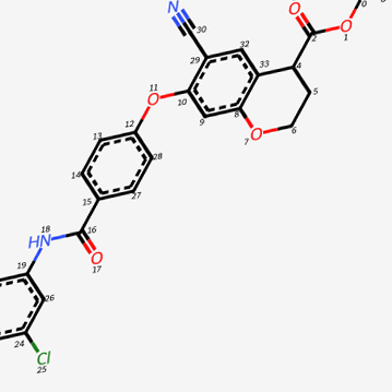 COC(=O)C1CCOc2cc(Oc3ccc(C(=O)Nc4ccc(Cl)c(Cl)c4)cc3)c(C#N)cc21